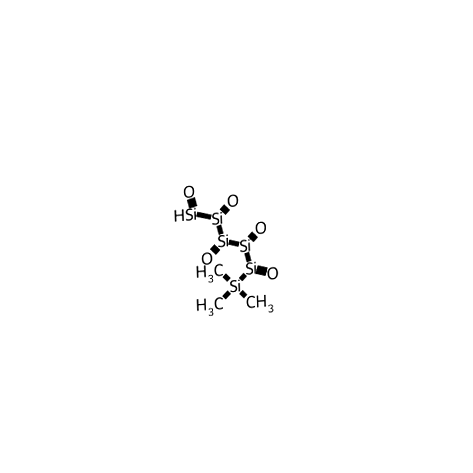 C[Si](C)(C)[Si](=O)[Si](=O)[Si](=O)[Si](=O)[SiH]=O